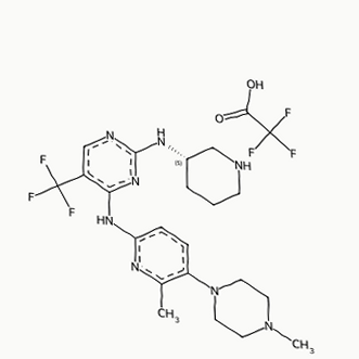 Cc1nc(Nc2nc(N[C@H]3CCCNC3)ncc2C(F)(F)F)ccc1N1CCN(C)CC1.O=C(O)C(F)(F)F